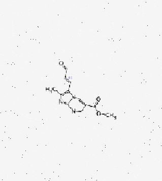 COC(=O)c1cnc2nc(C)c(/C=C/C=O)n2c1